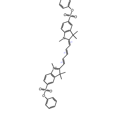 CN1\C(=C/C=C/C=C/C2=[N+](C)c3ccc(S(=O)(=O)Oc4ccccc4)cc3C2(C)C)C(C)(C)c2cc(S(=O)(=O)Oc3ccccc3)ccc21